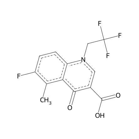 Cc1c(F)ccc2c1c(=O)c(C(=O)O)cn2CC(F)(F)F